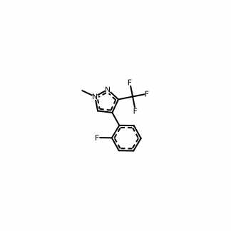 Cn1cc(-c2ccccc2F)c(C(F)(F)F)n1